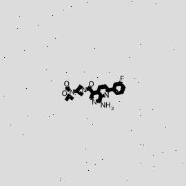 CC1(C)OC(=O)N1C1CN(C(=O)c2cnc(N)c3nc(-c4cccc(F)c4)ccc23)C1